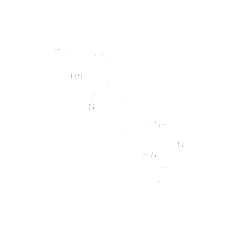 CC(C)Nc1nc2ccc(NC3=NCC(=O)N3)cc2s1